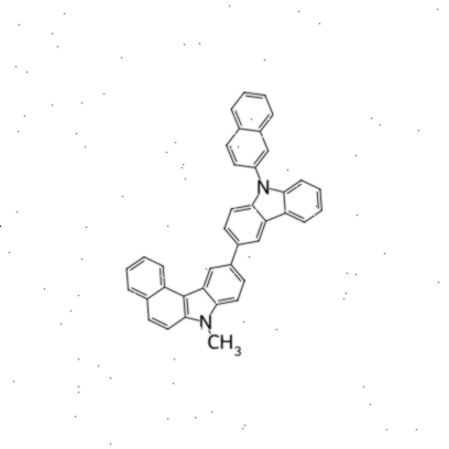 Cn1c2ccc(-c3ccc4c(c3)c3ccccc3n4-c3ccc4ccccc4c3)cc2c2c3ccccc3ccc21